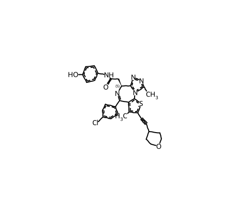 Cc1c(C#CC2CCOCC2)sc2c1C(c1ccc(Cl)cc1)=N[C@@H](CC(=O)Nc1ccc(O)cc1)c1nnc(C)n1-2